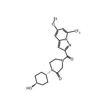 CCOc1cc(C(F)(F)F)n2nc(C(=O)N3CCN([C@H]4CC[C@H](O)CC4)C(=O)C3)cc2c1